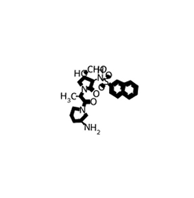 C[C@@H](C(=O)N1CCC[C@H](N)C1)N1CC[C@H](NS(=O)(=O)c2ccc3ccccc3c2)C1=O.O=CO